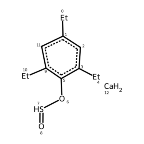 CCc1cc(CC)c(O[SH]=O)c(CC)c1.[CaH2]